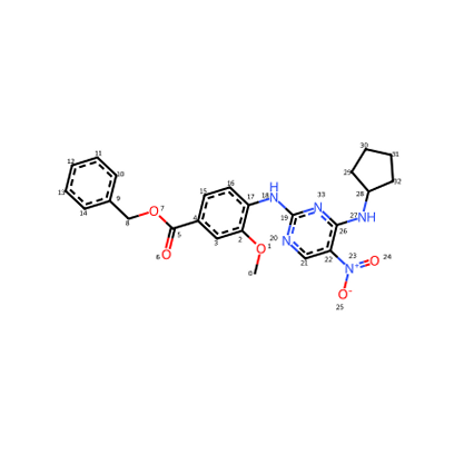 COc1cc(C(=O)OCc2ccccc2)ccc1Nc1ncc([N+](=O)[O-])c(NC2CCCC2)n1